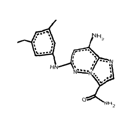 Cc1cc(C)cc(Nc2cc(N)c3ncc(C(N)=O)n3n2)c1